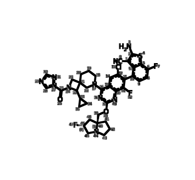 N#Cc1c(N)sc2c(F)ccc(-c3c(Cl)cc4c(N5CCCC6(C5)CN(C(=O)n5cncn5)C6C5CC5)nc(OC[C@@]56CCCN5C[C@H](F)C6)nc4c3F)c12